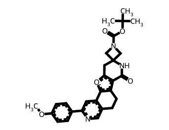 COc1ccc(-c2cc3c(cn2)CCc2c-3oc3c2C(=O)NC2(C3)CN(C(=O)OC(C)(C)C)C2)cc1